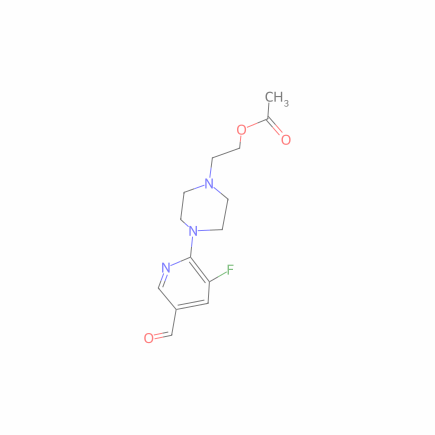 CC(=O)OCCN1CCN(c2ncc(C=O)cc2F)CC1